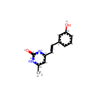 O=c1nc(/C=C/c2cccc(O)c2)cc(C(F)(F)F)[nH]1